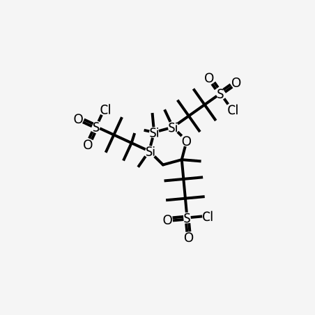 CC1(C(C)(C)C(C)(C)S(=O)(=O)Cl)C[Si](C)(C(C)(C)C(C)(C)S(=O)(=O)Cl)[Si](C)(C)[Si](C)(C(C)(C)C(C)(C)S(=O)(=O)Cl)O1